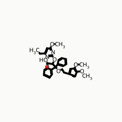 CCc1cc(OC)nc(OC(C(=O)O)C(OCCc2ccc(OC)c(OC)c2)(c2ccccc2)c2ccccc2)n1